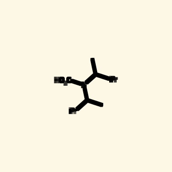 CC(C)C(C)N(C(=O)O)C(C)C(C)C